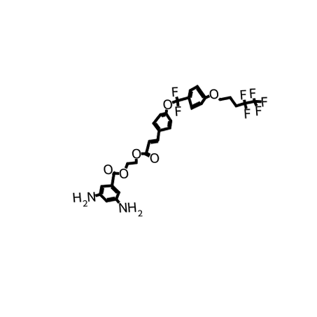 Nc1cc(N)cc(C(=O)OCCOC(=O)/C=C/c2ccc(OC(F)(F)c3ccc(OCCCC(F)(F)C(F)(F)F)cc3)cc2)c1